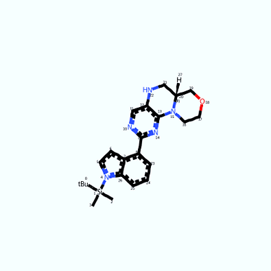 CC(C)(C)[Si](C)(C)n1ccc2c(-c3ncc4c(n3)N3CCOC[C@H]3CN4)cccc21